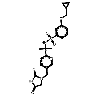 CC(C)(NS(=O)(=O)c1cccc(OCC2CC2)c1)c1ncc(CN2CC(=O)NC2=O)cn1